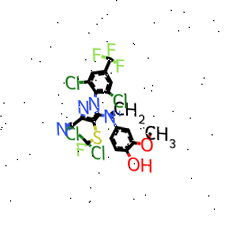 C=[N+](c1ccc(O)c(OC)c1)c1c(SC(F)(Cl)Cl)c(C#N)nn1-c1c(Cl)cc(C(F)(F)F)cc1Cl